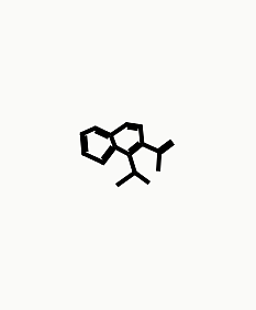 C=C(C)c1ccc2ccccc2c1C(C)C